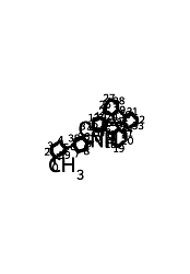 Cc1cccc(-c2ccc(Nc3cccc4c3-c3ccccc3C43c4ccccc4-c4ccccc43)c(C)c2)c1